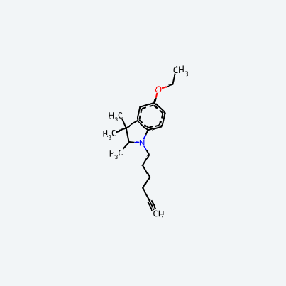 C#CCCCCN1c2ccc(OCC)cc2C(C)(C)C1C